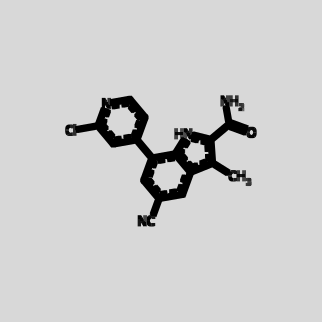 Cc1c(C(N)=O)[nH]c2c(-c3ccnc(Cl)c3)cc(C#N)cc12